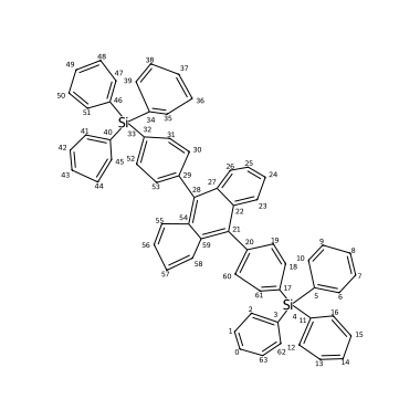 c1ccc([Si](c2ccccc2)(c2ccccc2)c2ccc(-c3c4ccccc4c(-c4ccc([Si](c5ccccc5)(c5ccccc5)c5ccccc5)cc4)c4ccccc34)cc2)cc1